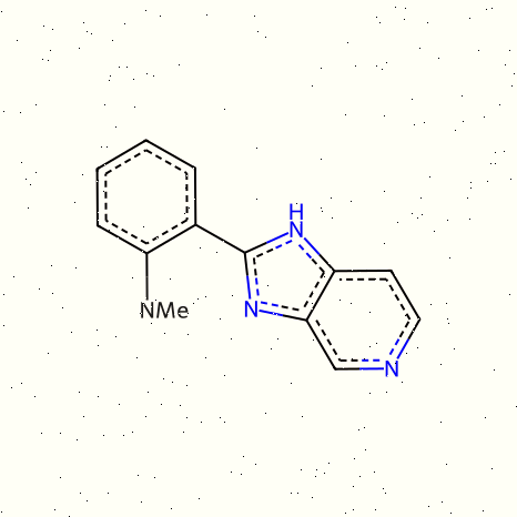 CNc1ccccc1-c1nc2cnccc2[nH]1